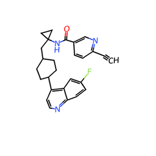 C#Cc1ccc(C(=O)NC2(CC3CCC(c4ccnc5ccc(F)cc45)CC3)CC2)cn1